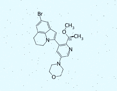 CO[C@@H](C)c1ncc(N2CCOCC2)cc1-c1cc2cc(Br)cc3c2n1CCC3